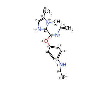 C=CN=C(Oc1ccc(NCC(C)C)cc1)c1ncc([N+](=O)[O-])n1C